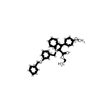 CCOC(=O)c1c(-c2ccc(OC)cc2)c2ccccc2n1Cc1cccc(OCc2ccccc2)c1